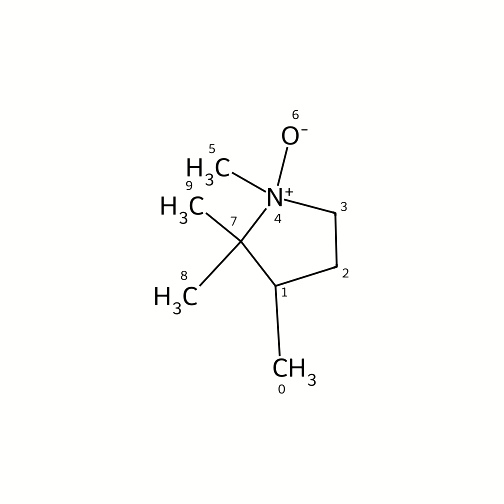 CC1CC[N+](C)([O-])C1(C)C